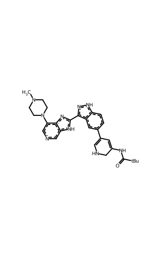 CN1CCN(c2cncc3[nH]c(-c4n[nH]c5ccc(C6=CNCC(NC(=O)C(C)(C)C)=C6)cc45)nc23)CC1